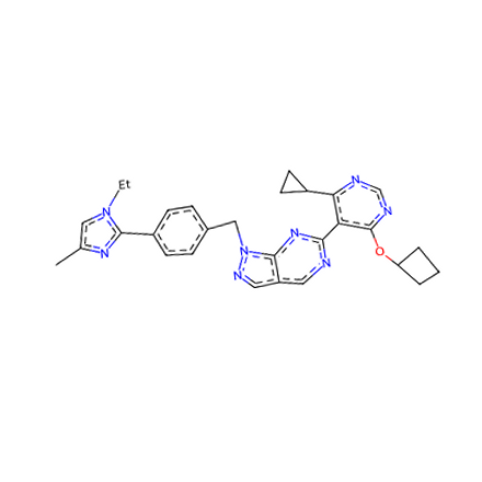 CCn1cc(C)nc1-c1ccc(Cn2ncc3cnc(-c4c(OC5CCC5)ncnc4C4CC4)nc32)cc1